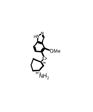 COc1c(O[C@@H]2CCC[C@@H](N)C2)ccc2[nH]ncc12